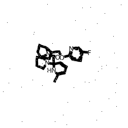 CC1=CC=CC(C(=O)N2C3CCC2C(COc2ccc(F)cn2)C3)(N2CCCC2)N1